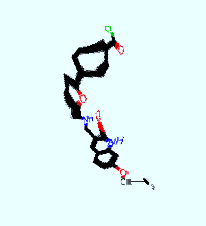 COc1ccc2cc(CNCc3ccc(-c4ccc(C(=O)Cl)cc4)o3)c(=O)[nH]c2c1